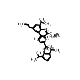 C=CCc1cc(C(C)C)c(/N=C(/C)c2cccc(/C(C)=N/c3c(C(C)C)cccc3C(C)C)n2)c(C(C)C)c1.[Br-].[Br-].[Co+2]